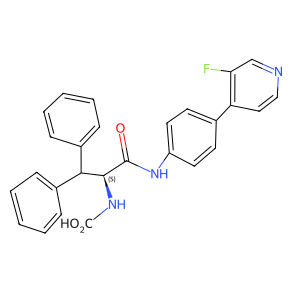 O=C(O)N[C@H](C(=O)Nc1ccc(-c2ccncc2F)cc1)C(c1ccccc1)c1ccccc1